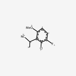 COc1ccc(F)c(Cl)c1C(C)C#N